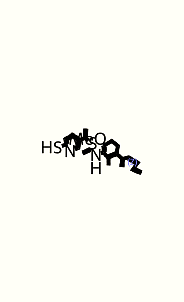 C=C/C=C\C(=C)C1=C(C)C(NC(=C)SC(=C)c2ccc(S)nc2)=C(OC)CC1